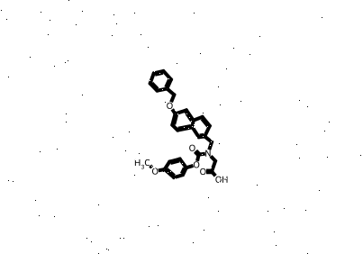 COc1ccc(OC(=O)N(CC(=O)O)Cc2ccc3cc(OCc4ccccc4)ccc3c2)cc1